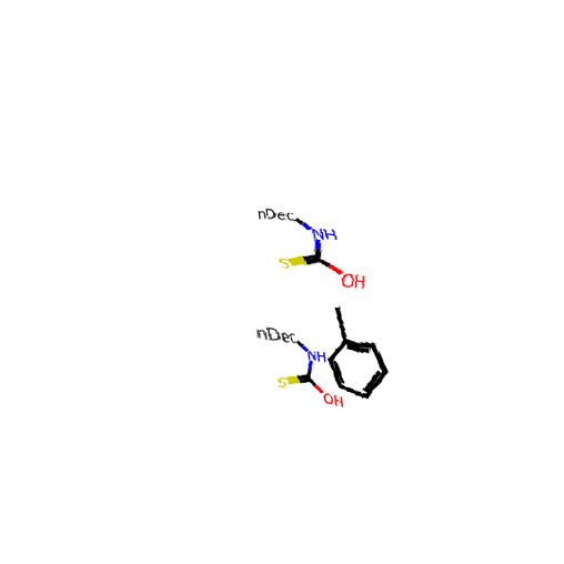 CCCCCCCCCCNC(O)=S.CCCCCCCCCCNC(O)=S.Cc1ccccc1